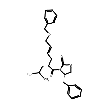 CC(C)C[C@H](C/C=C/COCc1ccccc1)C(=O)N1C(=O)OC[C@@H]1Cc1ccccc1